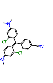 CN(C)c1ccc(/C(=C2\C=CC(=[N+](C)C)C=C2Cl)c2ccc(C#N)cc2)c(Cl)c1